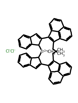 [CH2]=[Zr+2]([CH]1C(C2=C(CC)c3cccc4cccc2c34)=Cc2ccccc21)[CH]1C(C2=C(CC)c3cccc4cccc2c34)=Cc2ccccc21.[Cl-].[Cl-]